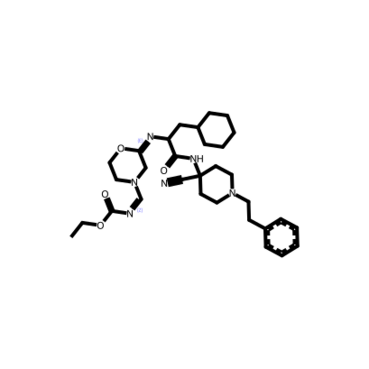 CCOC(=O)/N=C\N1CCO/C(=N/C(CC2CCCCC2)C(=O)NC2(C#N)CCN(CCc3ccccc3)CC2)C1